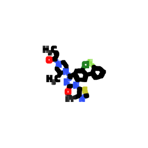 C=CC(=O)N1CCN(c2nc(=O)n(-c3scnc3C(C)C)c3cc(-c4ccccc4F)c(Cl)cc23)C(C)C1